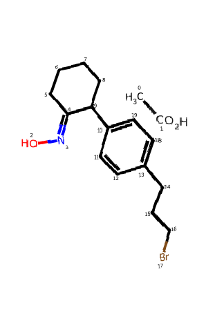 CC(=O)O.ON=C1CCCCC1c1ccc(CCCBr)cc1